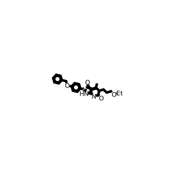 CCOCCCC1C(=O)N=c2[nH]n(-c3ccc(OCc4ccccc4)cc3)c(=O)c2=C1C